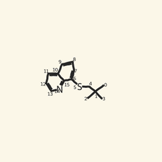 CC(C)(C)CSc1cccc2cccnc12